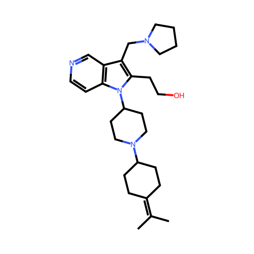 CC(C)=C1CCC(N2CCC(n3c(CCO)c(CN4CCCC4)c4cnccc43)CC2)CC1